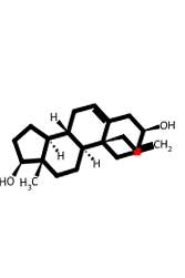 C=CC[C@]12CC[C@H](O)CC1=CC[C@@H]1[C@@H]2CC[C@]2(C)[C@@H](O)CC[C@@H]12